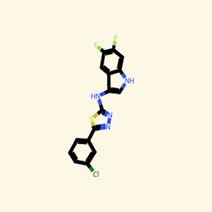 Fc1cc2[nH]cc(Nc3nnc(-c4cccc(Cl)c4)s3)c2cc1F